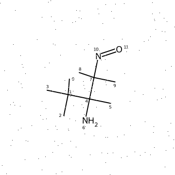 CC(C)(C)C(C)(N)C(C)(C)N=O